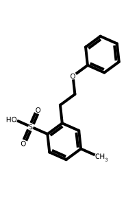 Cc1ccc(S(=O)(=O)O)c(CCOc2ccccc2)c1